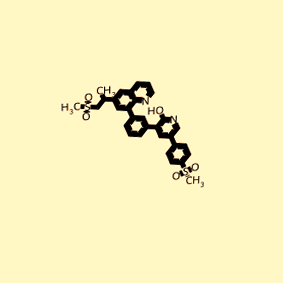 CC(CS(C)(=O)=O)c1cc(-c2cccc(-c3cc(-c4ccc(S(C)(=O)=O)cc4)cnc3O)c2)c2ncccc2c1